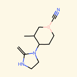 C=C1NCCN1C1CCB(C#N)CC1C